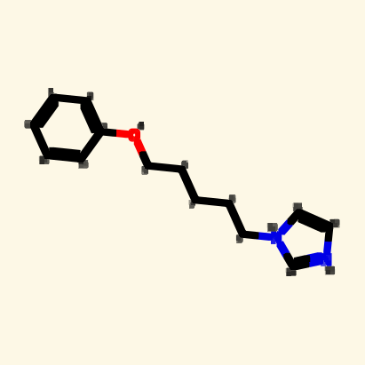 c1ccc(OCCCCCn2ccnc2)cc1